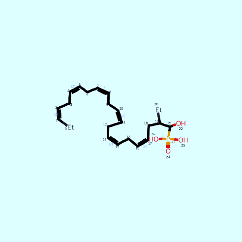 CC/C=C\C/C=C\C/C=C\C/C=C\C/C=C\C/C=C\CC(CC)C(O)P(=O)(O)O